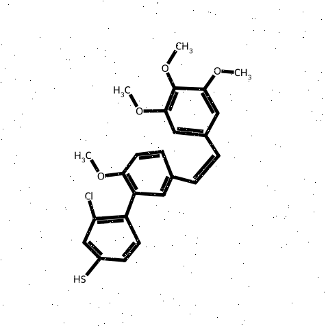 COc1ccc(/C=C\c2cc(OC)c(OC)c(OC)c2)cc1-c1ccc(S)cc1Cl